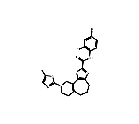 Cc1cnc(N2CCC3=C(C2)c2sc(C(=O)Nc4ccc(F)cc4F)nc2CCC3)s1